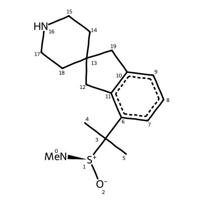 CN[S@+]([O-])C(C)(C)c1cccc2c1CC1(CCNCC1)C2